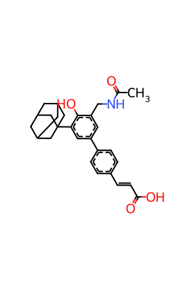 CC(=O)NCc1cc(-c2ccc(/C=C/C(=O)O)cc2)cc(C23CC4CC(CC(C4)C2)C3)c1O